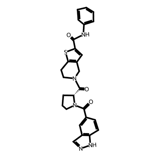 O=C(Nc1ccccc1)c1cc2c(s1)CCN(C(=O)[C@H]1CCCN1C(=O)c1ccc3[nH]ncc3c1)C2